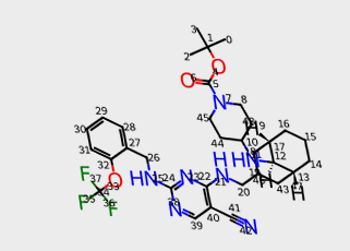 CC(C)(C)OC(=O)N1CCC(N[C@@H]2[C@@H]3CCC[C@H]2CC(CNc2nc(NCc4ccccc4OC(F)(F)F)ncc2C#N)C3)CC1